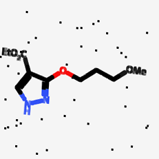 CCOC(=O)c1c[nH]nc1OCCCOC